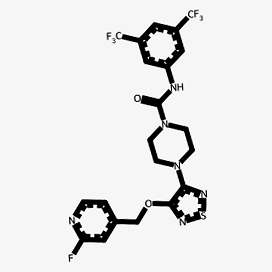 O=C(Nc1cc(C(F)(F)F)cc(C(F)(F)F)c1)N1CCN(c2nsnc2OCc2ccnc(F)c2)CC1